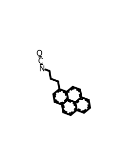 O=C=NCCCc1ccc2ccc3cccc4ccc1c2c34